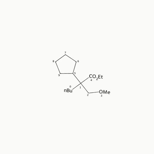 CCCCC(COC)(C(=O)OCC)C1CCCC1